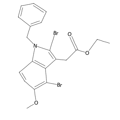 CCOC(=O)Cc1c(Br)n(Cc2ccccc2)c2ccc(OC)c(Br)c12